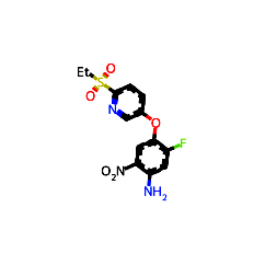 CCS(=O)(=O)c1ccc(Oc2cc([N+](=O)[O-])c(N)cc2F)cn1